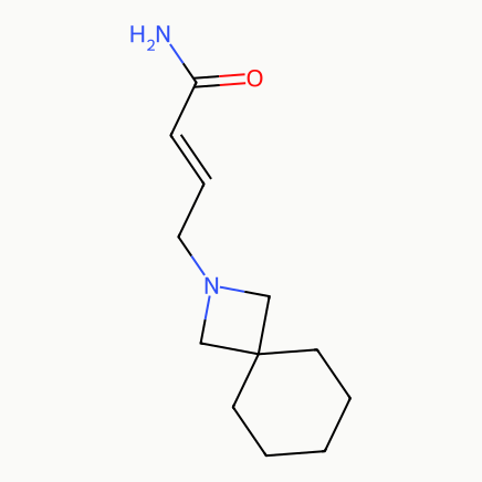 NC(=O)/C=C/CN1CC2(CCCCC2)C1